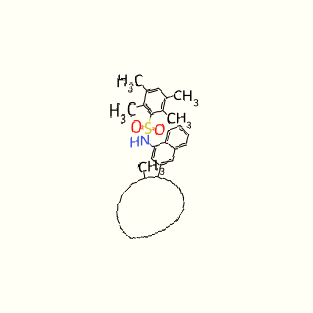 Cc1cc(C)c(C)c(S(=O)(=O)Nc2cc(C3CCCCCCCCCCCCCC3C)cc3ccccc23)c1C